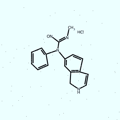 CN=C(N=O)N(c1ccccc1)c1ccc2c(c1)CNC=C2.Cl